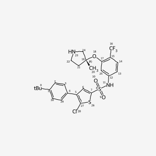 CC(C)(C)c1ccc(-c2cc(S(=O)(=O)Nc3ccc(C(F)(F)F)c(O[C@]4(C)CCNC4)c3)sc2Cl)cc1